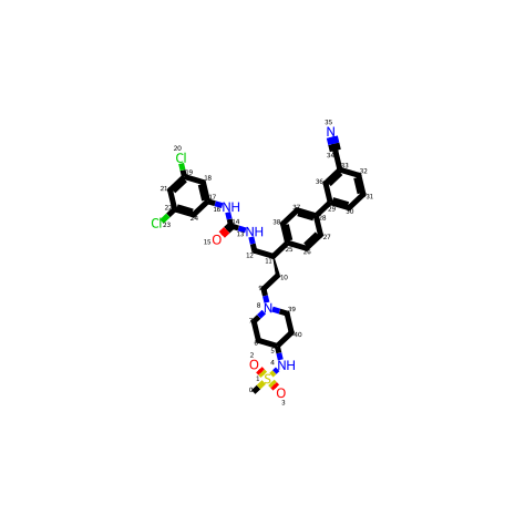 CS(=O)(=O)NC1CCN(CC[C@@H](CNC(=O)Nc2cc(Cl)cc(Cl)c2)c2ccc(-c3cccc(C#N)c3)cc2)CC1